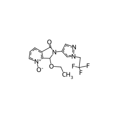 CCOC1c2c(ccc[n+]2[O-])C(=O)N1c1cnn(CC(F)(F)F)c1